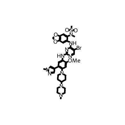 COc1cc(N2CCC(N3CCN(C)CC3)CC2)c(-c2cnn(C)c2)cc1Nc1ncc(Br)c(Nc2cc3c(cc2N(C)S(C)(=O)=O)OCO3)n1